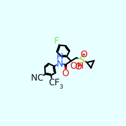 N#Cc1ccc(NC(=O)C(O)(CS(=O)(=O)C2CC2)c2ccc(F)cc2)cc1C(F)(F)F